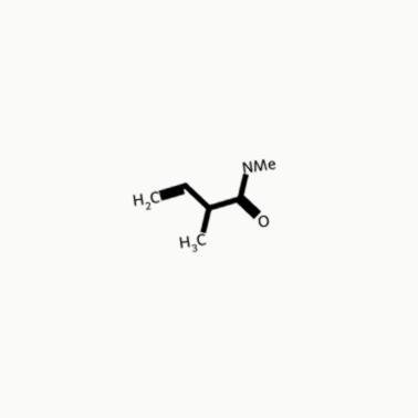 C=CC(C)C(=O)NC